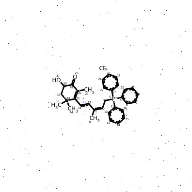 CC(=CC[P+](c1ccccc1)(c1ccccc1)c1ccccc1)/C=C/C1=C(C)C(=O)C(O)CC1(C)C.[Cl-]